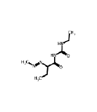 CCNC(=O)NC(=O)C(CC)N=NC